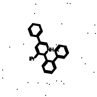 CC(C)C1=CC(C2=CCCC=C2)=CNC1c1ccccc1-c1ccccc1